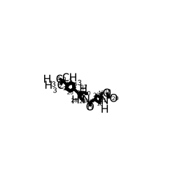 CC(C)(C)c1ccc(C2[C@H]3CN(C(=O)C4CC5(COC(=O)N5)C4)C[C@@H]23)cc1